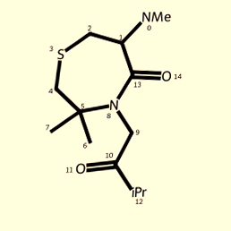 CNC1CSCC(C)(C)N(CC(=O)C(C)C)C1=O